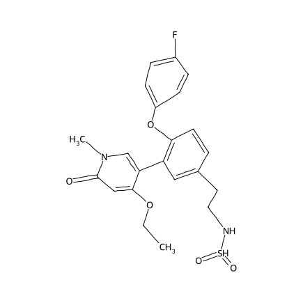 CCOc1cc(=O)n(C)cc1-c1cc(CCN[SH](=O)=O)ccc1Oc1ccc(F)cc1